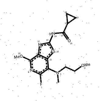 COCCN(C)c1c(F)nc(OC)c2nc(NC(=O)C3CC3)sc12